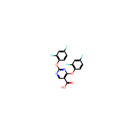 O=C(O)c1cnc(Oc2ccc(F)cc2F)nc1Oc1ccc(F)cc1F